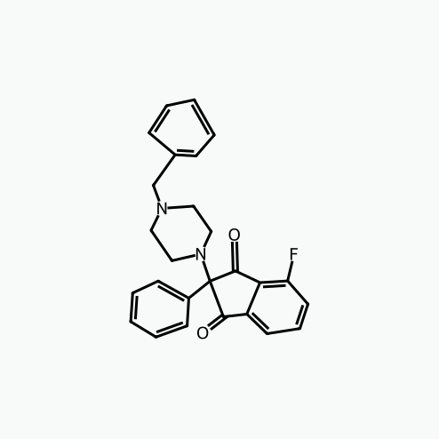 O=C1c2cccc(F)c2C(=O)C1(c1ccccc1)N1CCN(Cc2ccccc2)CC1